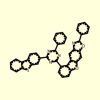 c1ccc(-c2nc(-c3ccc4c(c3)sc3ccccc34)nc(-c3cccc4oc5cc6oc(-c7ccccc7)nc6cc5c34)n2)cc1